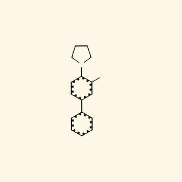 Nc1cc(-c2ccccc2)ccc1N1CCCC1